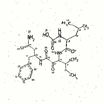 CCC(C)C(NC(=O)C(CC(C)C)NC(=O)O)C(=O)C(=O)NC(CC(N)=O)Cc1ccccc1